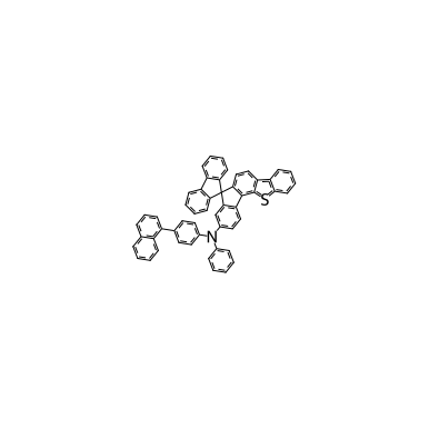 c1ccc(N(c2ccc(-c3cccc4ccccc34)cc2)c2ccc3c(c2)C2(c4ccccc4-c4ccccc42)c2ccc4c(sc5ccccc54)c2-3)cc1